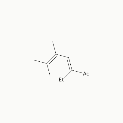 CC/C(=C\C(C)=C(C)C)C(C)=O